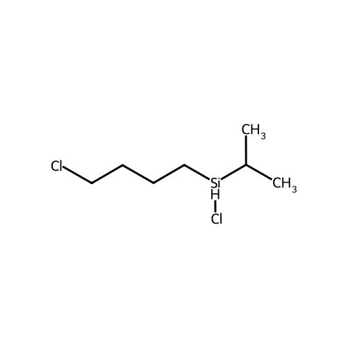 CC(C)[SiH](Cl)CCCCCl